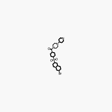 O=C(c1ccc(S(=O)(=O)c2ccc3cc(Br)ccc3c2)cc1)N1CCN(c2ccncc2)CC1